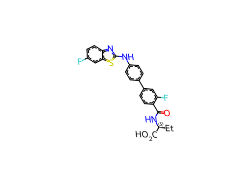 CC[C@H](NC(=O)c1ccc(-c2ccc(Nc3nc4ccc(F)cc4s3)cc2)cc1F)C(=O)O